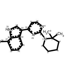 CC1(C)C[CH]CCN1c1nccc(-c2c[nH]c3c(Cl)cccc23)n1